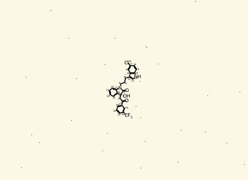 O=C(C[C@]1(O)C(=O)N(CCCc2c[nH]c3ccc(Cl)cc23)c2ccccc21)c1cccc(C(F)(F)F)c1